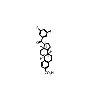 C[C@]12CC[C@@H]3c4ccc(C(=O)O)cc4CC[C@H]3[C@@H]1CC[C@@H]2C(=O)c1cc(F)cc(F)c1